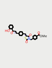 COC(=O)c1ccc(CN2C(=O)S/C(=C\c3ccc(/C=C/C(=O)c4ccccc4O)cc3)C2=O)cc1